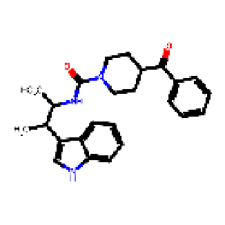 CC(c1c[nH]c2ccccc12)C(NC(=O)N1CCC(C(=O)c2ccccc2)CC1)C(=O)O